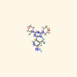 C[C@H]1COCCN1c1nc(-c2cnc(N)cc2C(F)F)nc(N2CCOCC2)n1